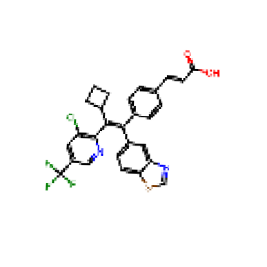 O=C(O)C=Cc1ccc(C(=C(c2ncc(C(F)(F)F)cc2Cl)C2CCC2)c2ccc3scnc3c2)cc1